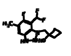 Cc1cc2c(c(C(F)F)c1F)N(CC1(O)CCC1)NN2